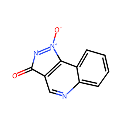 O=C1N=[N+]([O-])c2c1cnc1ccccc21